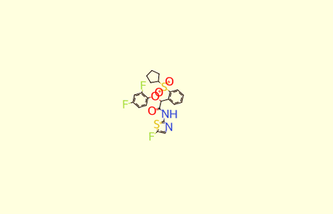 O=C(Nc1ncc(F)s1)C(Oc1ccc(F)cc1F)c1ccccc1S(=O)(=O)C1CCCC1